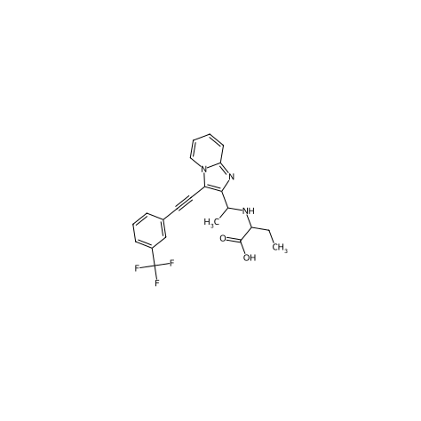 CCC(NC(C)c1nc2ccccn2c1C#Cc1cccc(C(F)(F)F)c1)C(=O)O